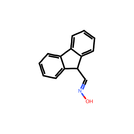 ON=CC1c2ccccc2-c2ccccc21